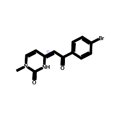 CN1C=C/C(=C/C(=O)c2ccc(Br)cc2)NC1=O